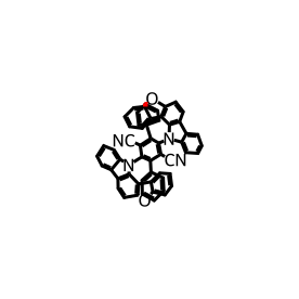 N#Cc1c(-c2ccccc2)c(-n2c3ccccc3c3ccc4oc5ccccc5c4c32)c(C#N)c(-c2ccccc2)c1-n1c2ccccc2c2ccc3oc4ccccc4c3c21